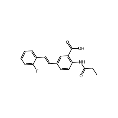 CCC(=O)Nc1ccc(C=Cc2ccccc2F)cc1C(=O)O